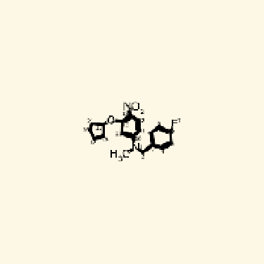 CN(Cc1ccc(F)cc1)c1ccc([N+](=O)[O-])c(OC2CCCC2)c1